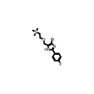 C[Si](C)(C)CCOCc1[nH]c(-c2ccc(F)cc2)nc1Br